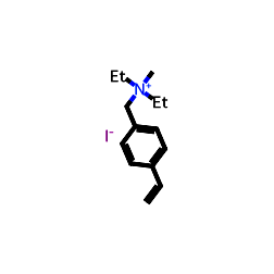 C=Cc1ccc(C[N+](C)(CC)CC)cc1.[I-]